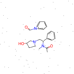 CC(=O)N(C)C(CN1CCC(O)C1)c1ccccc1.O=CN1c2ccccc21